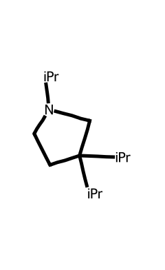 CC(C)N1CCC(C(C)C)(C(C)C)C1